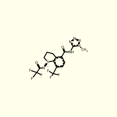 Cn1nnnc1NC(=O)c1ccc(C(F)(F)F)c2c1CCC/S2=N\C(=O)C(F)(F)F